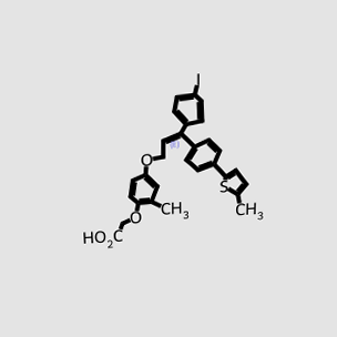 Cc1ccc(-c2ccc(/C(=C\COc3ccc(OCC(=O)O)c(C)c3)c3ccc(I)cc3)cc2)s1